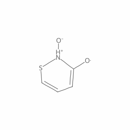 [O]C1=CC=CS[NH+]1[O-]